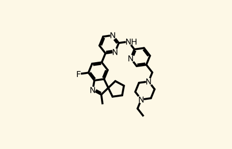 CCN1CCN(Cc2ccc(Nc3nccc(-c4cc(F)c5c(c4)C4(CCCC4)C(C)=N5)n3)nc2)CC1